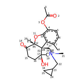 CC(=O)Oc1ccc(C)c2c1O[C@H]1C(=O)CC[C@@]3(O)C[N@@+](C)(CC4CC4)CC[C@]213